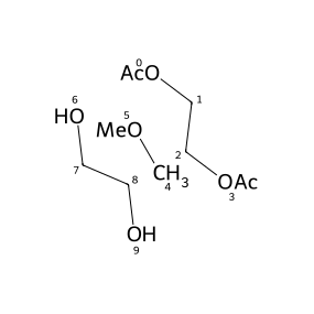 CC(=O)OCCOC(C)=O.COC.OCCO